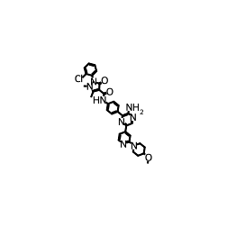 COC1CCN(c2cc(-c3cnc(N)c(-c4ccc(NC(=O)c5c(C)n(C)n(-c6ccccc6Cl)c5=O)cc4)n3)ccn2)CC1